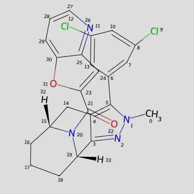 Cn1nc2c(c1-c1cc(Cl)cc(Cl)c1)C[C@H]1CCC[C@@H]2N1C(=O)c1cc2ncccc2o1